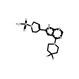 CS(=O)(=O)N1CC=C(c2cc3c(N4CCC(F)(F)CC4)ncnc3[nH]2)CC1